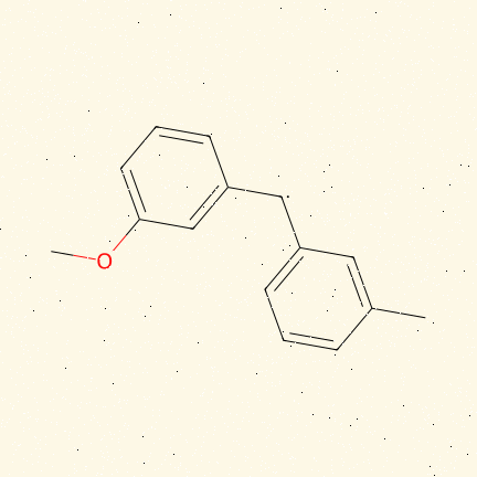 COc1cccc([CH]c2cccc(C)c2)c1